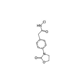 O=C(Cc1ccc(N2CCOC2=O)cc1)NCl